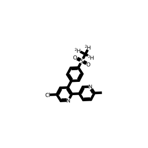 [2H]C([2H])([2H])S(=O)(=O)c1ccc(-c2cc(Cl)cnc2-c2ccc(C)nc2)cc1